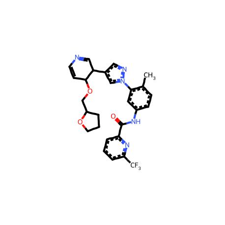 Cc1ccc(NC(=O)c2cccc(C(F)(F)F)n2)cc1-n1cc(C2C=NC=CC2OCC2CCCO2)cn1